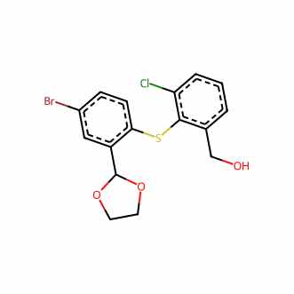 OCc1cccc(Cl)c1Sc1ccc(Br)cc1C1OCCO1